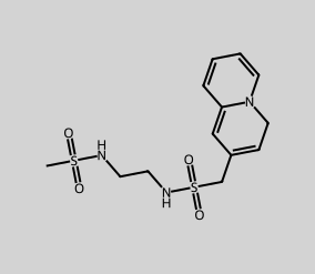 CS(=O)(=O)NCCNS(=O)(=O)CC1=CCN2C=CC=CC2=C1